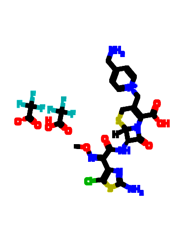 CO/N=C(\C(=O)N[C@@H]1C(=O)N2C(C(=O)O)=C(C[n+]3ccc(CN)cc3)CS[C@@H]12)c1nc(N)sc1Cl.O=C(O)C(F)(F)F.O=C([O-])C(F)(F)F